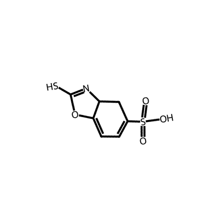 O=S(=O)(O)C1=CC=C2OC(S)=NC2C1